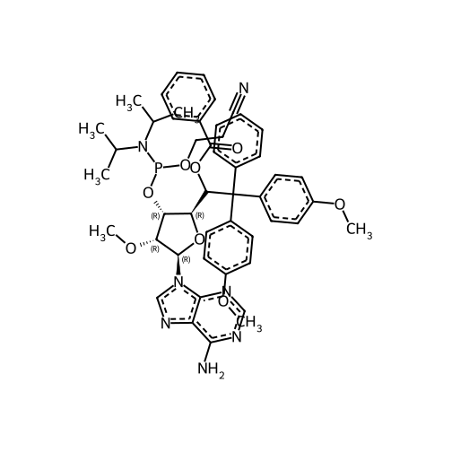 COc1ccc(C(c2ccccc2)(c2ccc(OC)cc2)C(OC(=O)c2ccccc2)[C@H]2O[C@@H](n3cnc4c(N)ncnc43)[C@H](OC)[C@@H]2OP(OCCC#N)N(C(C)C)C(C)C)cc1